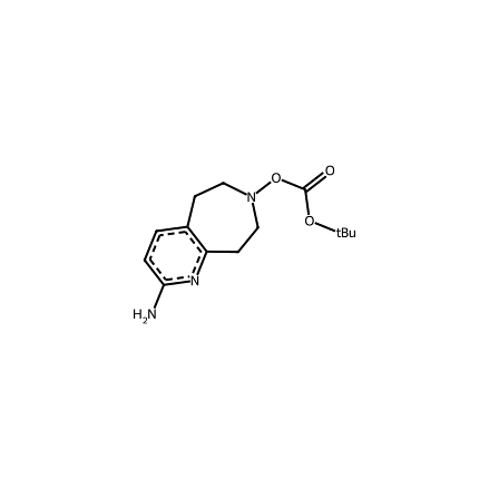 CC(C)(C)OC(=O)ON1CCc2ccc(N)nc2CC1